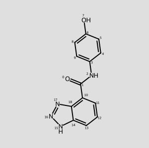 O=C(Nc1ccc(O)cc1)c1cccc2[nH]nnc12